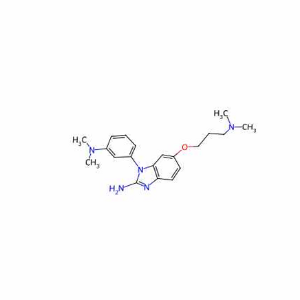 CN(C)CCCOc1ccc2nc(N)n(-c3cccc(N(C)C)c3)c2c1